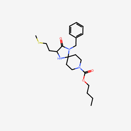 CCCCOC(=O)N1CCC2(CC1)NC(CCSC)C(=O)N2Cc1ccccc1